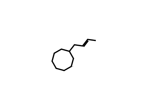 CC=CCC1C[CH]CCCCC1